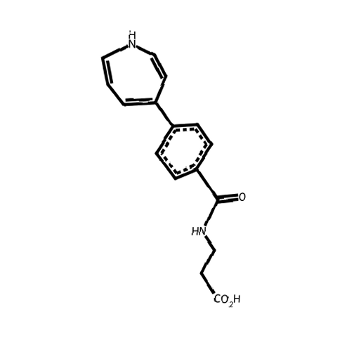 O=C(O)CCNC(=O)c1ccc(C2=CC=CNC=C2)cc1